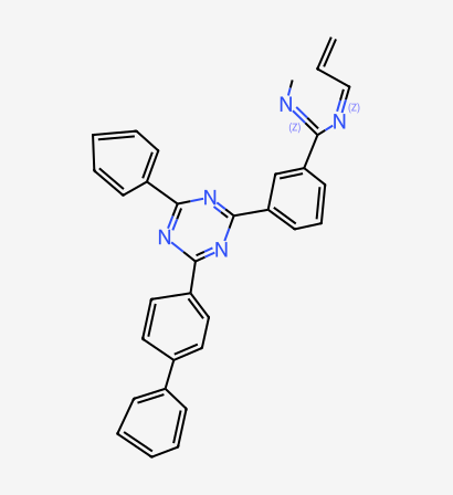 C=C/C=N\C(=N/C)c1cccc(-c2nc(-c3ccccc3)nc(-c3ccc(-c4ccccc4)cc3)n2)c1